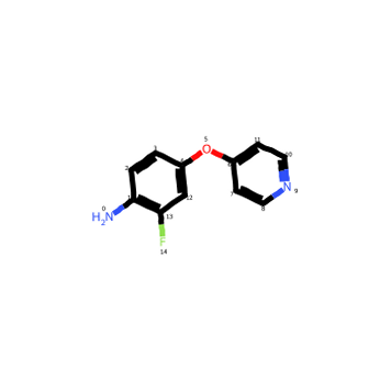 Nc1ccc(Oc2ccncc2)cc1F